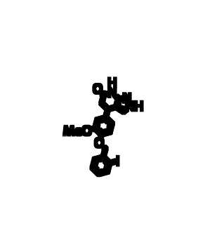 COc1cc(C2CC(=O)Nc3n[nH]cc32)ccc1OCc1ccccc1I